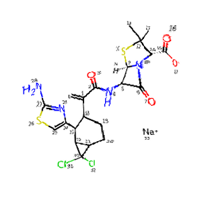 C=C(C(=O)N[C@@H]1C(=O)N2[C@@H]1SC(C)(C)[C@@H]2C(=O)[O-])C1CCC2C(C1c1csc(N)n1)C2(Cl)Cl.[Na+]